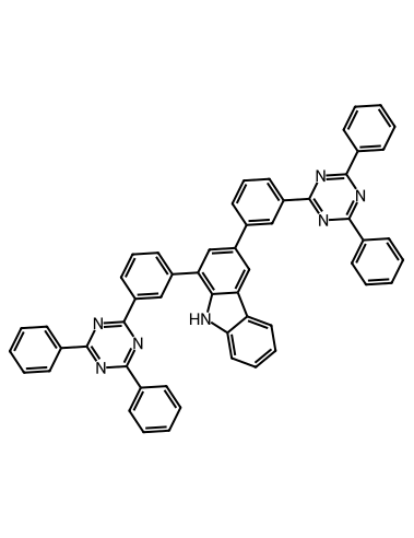 c1ccc(-c2nc(-c3ccccc3)nc(-c3cccc(-c4cc(-c5cccc(-c6nc(-c7ccccc7)nc(-c7ccccc7)n6)c5)c5[nH]c6ccccc6c5c4)c3)n2)cc1